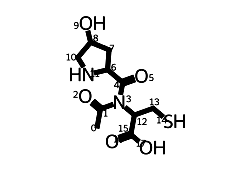 CC(=O)N(C(=O)C1CC(O)CN1)C(CS)C(=O)O